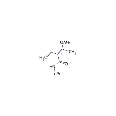 C=C/C(C(=O)NCCC)=C(/C)OC